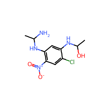 CC(N)Nc1cc(NC(C)O)c(Cl)cc1[N+](=O)[O-]